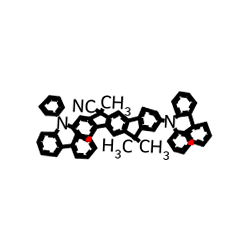 CC1(C)c2cc(N(c3ccccc3)c3ccccc3-c3ccccc3)ccc2-c2cc3c(cc21)-c1ccc(N(c2ccccc2)c2ccccc2-c2ccccc2)cc1C3(C)C#N